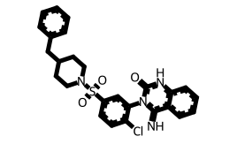 N=c1c2ccccc2[nH]c(=O)n1-c1cc(S(=O)(=O)N2CCC(Cc3ccccc3)CC2)ccc1Cl